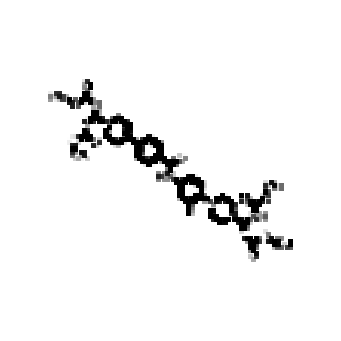 Cc1cc(NC(=O)c2ccc(C3=CCN(C(=NC(=O)OC(C)(C)C)NC(=O)OC(C)(C)C)CC3)cc2)ccc1N1CCN(C(=NC(=O)OC(C)(C)C)NC(=O)OC(C)(C)C)CC1